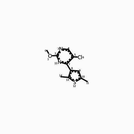 COc1ncc(Cl)c(-c2cc(C)sc2C)n1